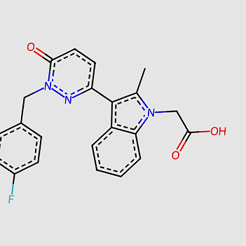 Cc1c(-c2ccc(=O)n(Cc3ccc(F)cc3)n2)c2ccccc2n1CC(=O)O